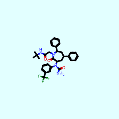 CC(C)(C)NC(=O)CN1C(=O)C(N(C(N)=O)c2cccc(C(F)(F)F)c2)CC(c2ccccc2)CC1c1ccccc1